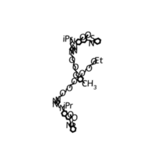 CCOCCOCCOc1cc(C)cc(OCCOCCOCCn2cc(CN(c3ccc4cc(-c5nc6ccccc6s5)c(=O)oc4c3)C(C)C)nn2)c1OCCOCCOCCn1cc(CN(c2ccc3cc(-c4nc5ccccc5s4)c(=O)oc3c2)C(C)C)nn1